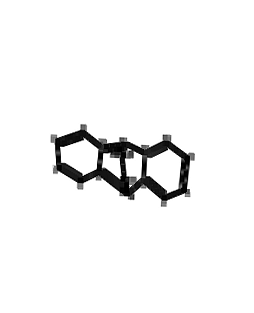 c1ccc2c3c4ccccc4c(c2c1)NN3